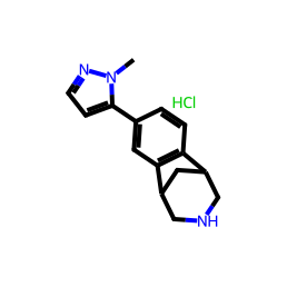 Cl.Cn1nccc1-c1ccc2c(c1)C1CNCC2C1